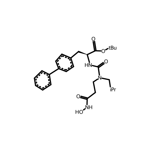 CC(C)CN(CCC(=O)NO)C(=O)N[C@@H](Cc1ccc(-c2ccccc2)cc1)C(=O)OC(C)(C)C